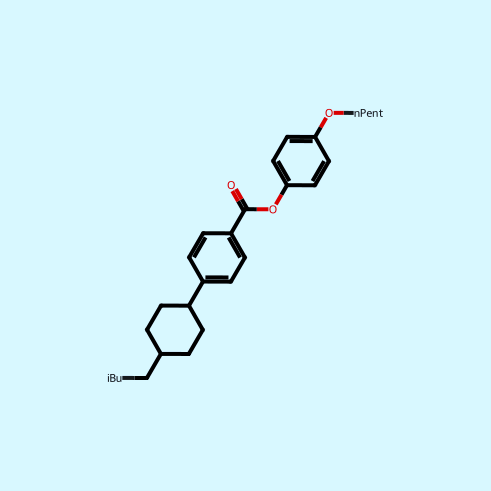 CCCCCOc1ccc(OC(=O)c2ccc(C3CCC(CC(C)CC)CC3)cc2)cc1